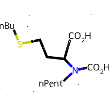 CCCCCN(C(=O)O)C(CCSCCCC)C(=O)O